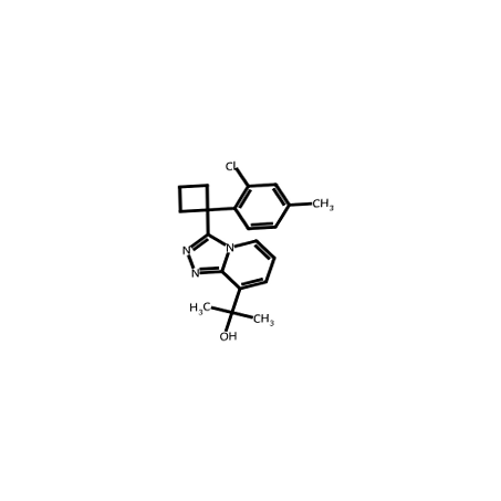 Cc1ccc(C2(c3nnc4c(C(C)(C)O)cccn34)CCC2)c(Cl)c1